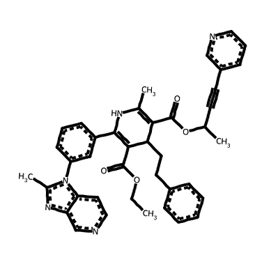 CCOC(=O)C1=C(c2cccc(-n3c(C)nc4cnccc43)c2)NC(C)=C(C(=O)OC(C)C#Cc2cccnc2)C1CCc1ccccc1